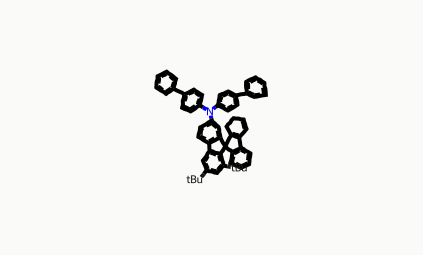 CC(C)(C)c1cc2c(c(C(C)(C)C)c1)C1(C3=C(C=CCC3)c3ccccc31)c1cc(N(c3ccc(-c4ccccc4)cc3)c3ccc(-c4ccccc4)cc3)ccc1-2